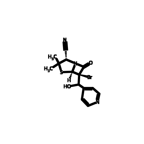 CC1(C)S[C@H]2N(C(=O)[C@]2(Br)C(O)c2ccncc2)[C@H]1C#N